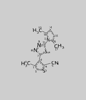 Cc1csc(C#N)c1-c1nnc(-n2c(C)ccc2C)s1